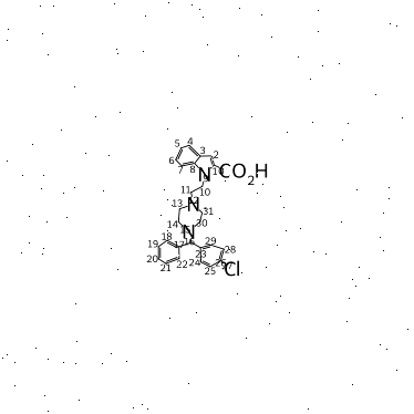 O=C(O)c1cc2ccccc2n1CCN1CCN(C(c2ccccc2)c2ccc(Cl)cc2)CC1